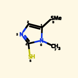 CSc1cnc(S)n1C